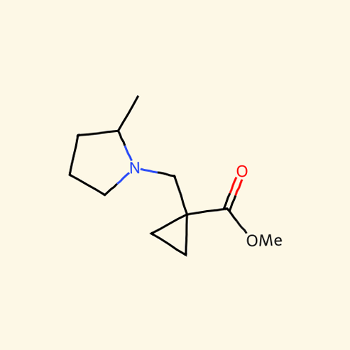 COC(=O)C1(CN2CCCC2C)CC1